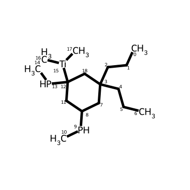 CCCC1(CCC)CC(PC)C[C](PC)([Ti]([CH3])[CH3])C1